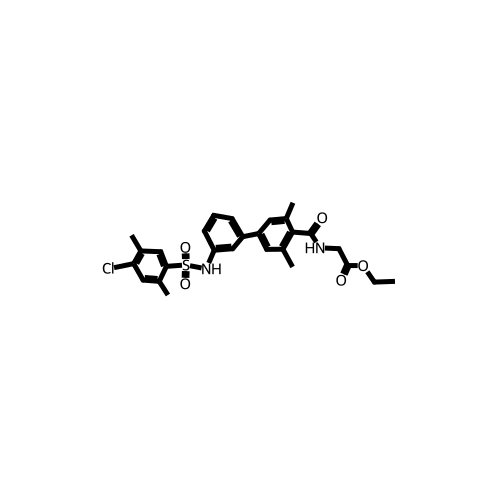 CCOC(=O)CNC(=O)c1c(C)cc(-c2cccc(NS(=O)(=O)c3cc(C)c(Cl)cc3C)c2)cc1C